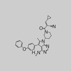 Cc1c(-c2ccc(Oc3ccccc3)cc2)c2c(N)ncnc2n1[C@H]1CCCN(C(=O)C(C#N)=CC2CC2)C1